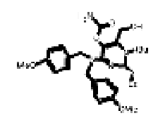 CCSC1N=C(N(Cc2ccc(OC)cc2)Cc2ccc(OC)cc2)C(OC(N)=O)=C(CO)N1C(C)(C)C